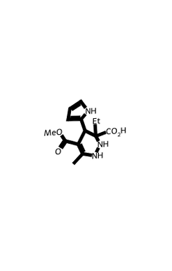 CCC1(C(=O)O)NNC(C)=C(C(=O)OC)C1c1ccc[nH]1